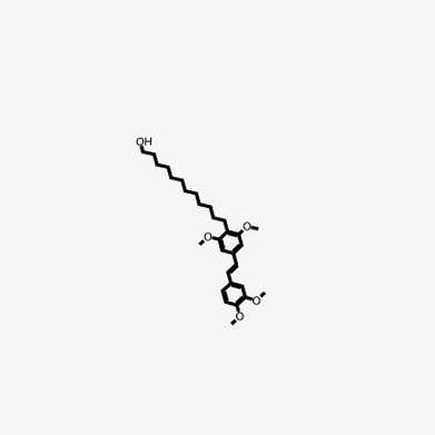 COc1ccc(/C=C/c2cc(OC)c(CCCCCCCCCCCCO)c(OC)c2)cc1OC